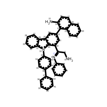 NC/C(=N\c1ccccc1)c1cc(-c2c(N)ccc3ccccc23)cc2c3ccccc3n(-c3ccc(-c4ccccc4)cc3)c12